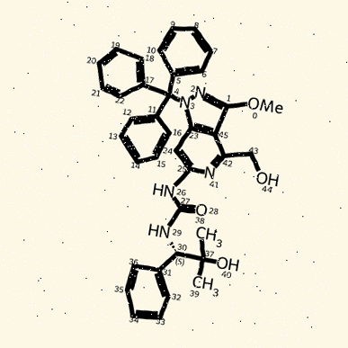 COc1nn(C(c2ccccc2)(c2ccccc2)c2ccccc2)c2cc(NC(=O)N[C@@H](c3ccccc3)C(C)(C)O)nc(CO)c12